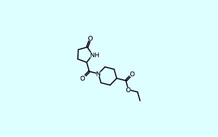 CCOC(=O)C1CCN(C(=O)C2CCC(=O)N2)CC1